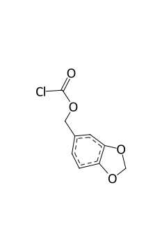 O=C(Cl)OCc1ccc2c(c1)OCO2